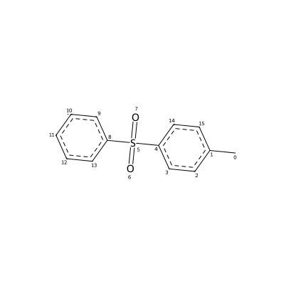 Cc1ccc(S(=O)(=O)c2c[c]ccc2)cc1